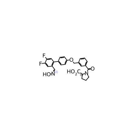 O=C(O)[C@@H]1CCCN1C(=O)c1cccc(COc2ccc(-c3cc(F)c(F)cc3/C=N\O)cc2)c1